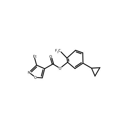 CCc1nocc1C(=O)Oc1cc(C2CC2)ccc1C(F)(F)F